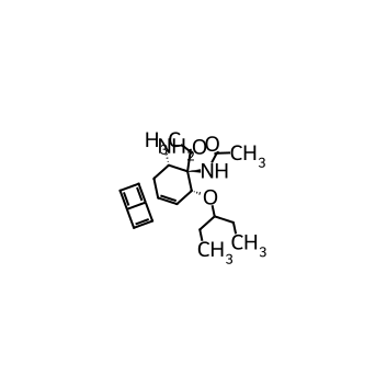 CCC(CC)O[C@@H]1C=CC[C@H](N)[C@]1(NC(C)=O)C(C)=O.c1cc2ccc1-2